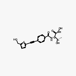 C[C@H](O)[C@H](NC(=O)c1ccc(C#Cc2ccc(CO)s2)cc1)C(=O)NO